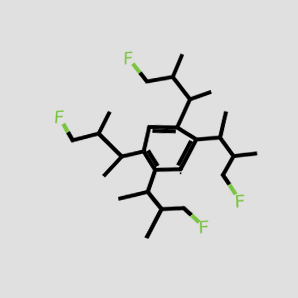 CC(CF)C(C)c1[c]c(C(C)C(C)CF)c(C(C)C(C)CF)cc1C(C)C(C)CF